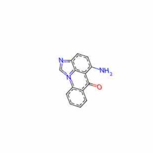 Nc1ccc2ncn3c4ccccc4c(=O)c1c23